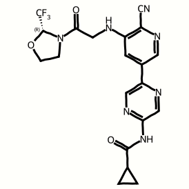 N#Cc1ncc(-c2cnc(NC(=O)C3CC3)cn2)cc1NCC(=O)N1CCO[C@@H]1C(F)(F)F